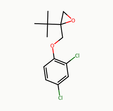 CC(C)(C)C1(COc2ccc(Cl)cc2Cl)CO1